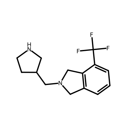 FC(F)(F)c1cccc2c1CN(CC1CCNC1)C2